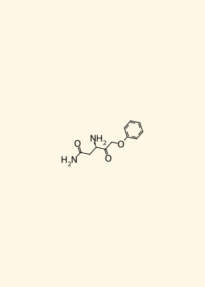 NC(=O)C[C@@H](N)C(=O)COc1ccccc1